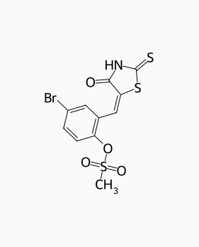 CS(=O)(=O)Oc1ccc(Br)cc1/C=C1/SC(=S)NC1=O